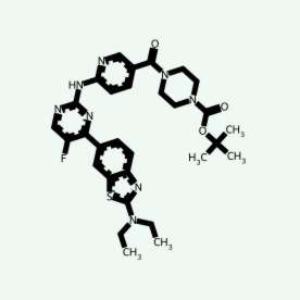 CCN(CC)c1nc2ccc(-c3nc(Nc4ccc(C(=O)N5CCN(C(=O)OC(C)(C)C)CC5)cn4)ncc3F)cc2s1